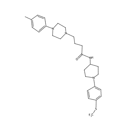 Cc1ccc(N2CCN(CCCC(=O)NC3CCN(c4ccc(SC(F)(F)F)cc4)CC3)CC2)cc1